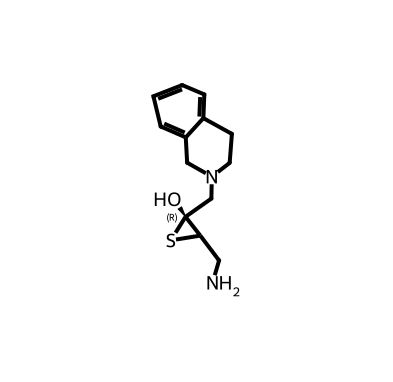 NCC1S[C@]1(O)CN1CCc2ccccc2C1